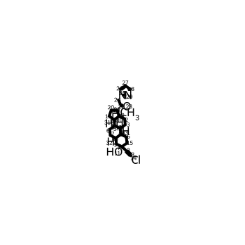 C[C@]12CC[C@H]3[C@@H](CC[C@@H]4C[C@@](O)(C#CCl)CC[C@@H]43)[C@@H]1CC[C@@H]2C(=O)Cn1cccn1